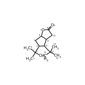 CC(C)(C)C1CC2OC(=O)CC2C1C(C)(C)C